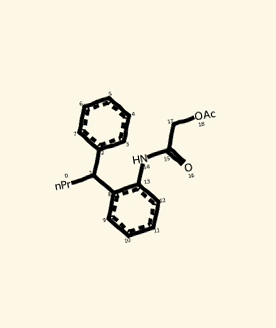 CCCC(c1ccccc1)c1ccccc1NC(=O)COC(C)=O